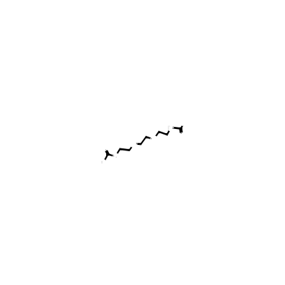 CCC(=O)NCCOCCOCCNC(=O)C(C)(C)C